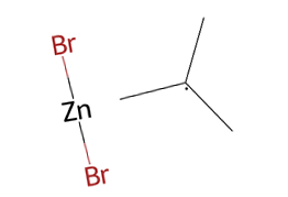 C[C](C)C.[Br][Zn][Br]